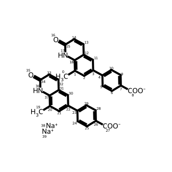 Cc1cc(-c2ccc(C(=O)[O-])cc2)cc2ccc(=O)[nH]c12.Cc1cc(-c2ccc(C(=O)[O-])cc2)cc2ccc(=O)[nH]c12.[Na+].[Na+]